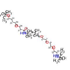 CC(C)(CCOCCOCCOCCNC(C)(C)C)CCC(C)(C)NC(=O)CCOCCCCOC(C)(C)C